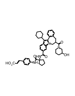 O=C(O)/C=C/c1ccc(NC(=O)C2(NC(=O)c3ccc4c(C5CCCCC5)c5n(c4c3)CC(C(=O)N3CCCC(O)C3)Cc3ccccc3-5)CCCC2)cc1